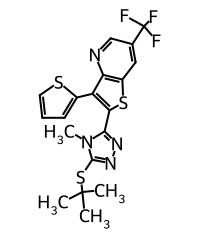 Cn1c(SC(C)(C)C)nnc1-c1sc2cc(C(F)(F)F)cnc2c1-c1cccs1